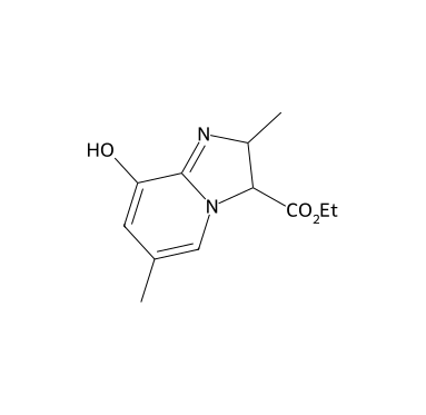 CCOC(=O)C1C(C)N=C2C(O)=CC(C)=CN21